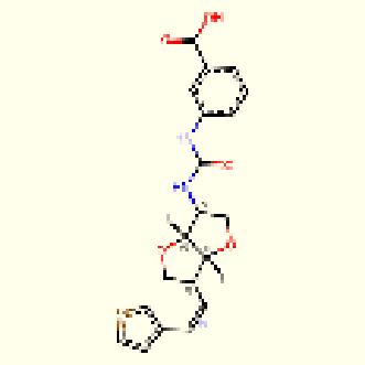 O=C(Nc1cccc(C(=O)O)c1)N[C@H]1CO[C@H]2[C@@H]1OC[C@@H]2/C=C\c1ccsc1